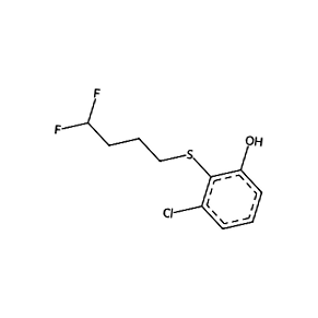 Oc1cccc(Cl)c1SCCCC(F)F